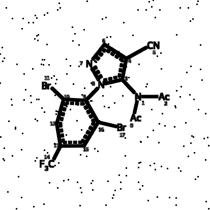 CC(=O)N(C(C)=O)c1c(C#N)cnn1-c1c(Br)cc(C(F)(F)F)cc1Br